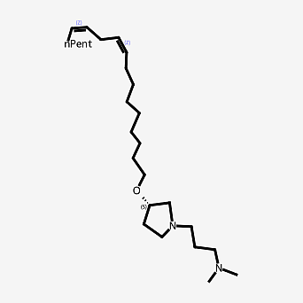 CCCCC/C=C\C/C=C\CCCCCCCCO[C@H]1CCN(CCCN(C)C)C1